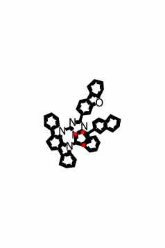 c1ccc(-c2nc(-c3ccc4c(c3)oc3ccccc34)nc(-n3c4ccccc4c4ccc5c6ccccc6n(-c6ccc(-c7ccc8ccccc8c7)cc6)c5c43)n2)cc1